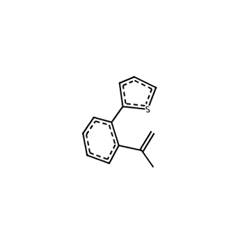 C=C(C)c1ccccc1-c1cccs1